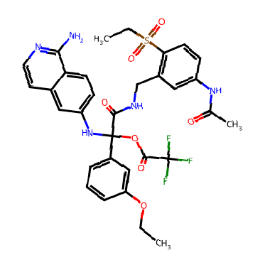 CCOc1cccc(C(Nc2ccc3c(N)nccc3c2)(OC(=O)C(F)(F)F)C(=O)NCc2cc(NC(C)=O)ccc2S(=O)(=O)CC)c1